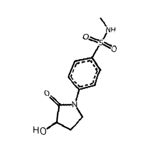 CNS(=O)(=O)c1ccc(N2CCC(O)C2=O)cc1